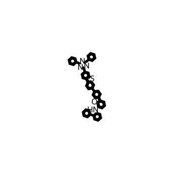 c1ccc(-c2nc(-c3ccccc3)nc(-c3ccc4c(c3)sc3cc(-c5ccc6c(c5)oc5c(Nc7ccccc7-c7ccccc7)cccc56)ccc34)n2)cc1